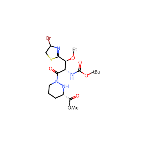 CCO[C@H](C1=NC(Br)CS1)[C@H](NC(=O)OC(C)(C)C)C(=O)N1CCC[C@@H](C(=O)OC)N1